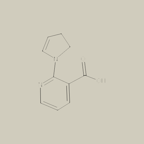 O=C(O)c1cccnc1N1C=CCC1